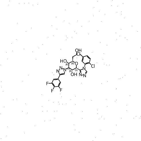 OCC[C@H]1O[C@@H](c2nncn2-c2cc(Cl)ccc2Cl)[C@H](O)[C@@H](n2cc(-c3cc(F)c(F)c(F)c3)nn2)[C@H]1O